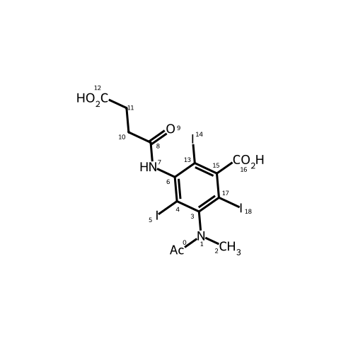 CC(=O)N(C)c1c(I)c(NC(=O)CCC(=O)O)c(I)c(C(=O)O)c1I